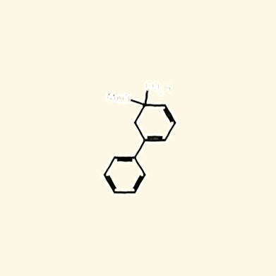 COC1(C(=O)O)C=CC=C(c2ccccc2)C1